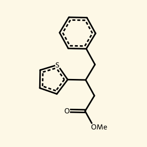 COC(=O)CC(Cc1ccccc1)c1cccs1